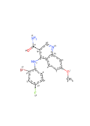 COc1ccc2c(Nc3ccc(F)cc3Br)c(C(N)=O)cnc2c1